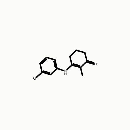 CC1=C(Nc2cccc(Cl)c2)CCCC1=O